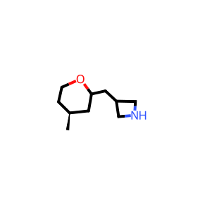 C[C@H]1CCOC(CC2CNC2)C1